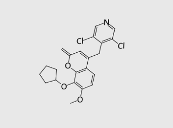 C=C1C=C(Cc2c(Cl)cncc2Cl)c2ccc(OC)c(OC3CCCC3)c2O1